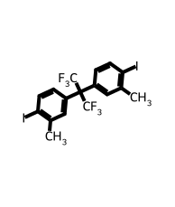 Cc1cc(C(c2ccc(I)c(C)c2)(C(F)(F)F)C(F)(F)F)ccc1I